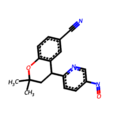 CC1(C)CC(c2ccc(N=O)cn2)c2cc(C#N)ccc2O1